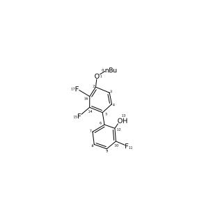 CCCCOc1ccc(-c2cccc(F)c2O)c(F)c1F